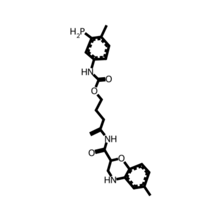 C=C(CCCOC(=O)Nc1ccc(C)c(P)c1)NC(=O)C1CNc2cc(C)ccc2O1